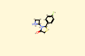 O=C1CSC(c2ccc(F)cc2)N1C1[CH]CN1